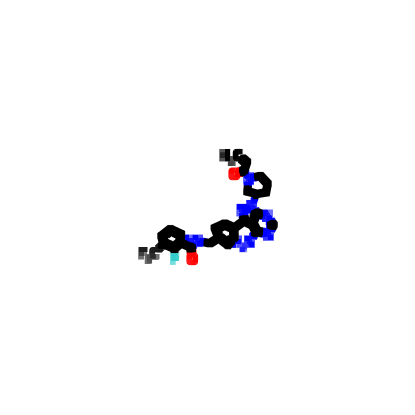 C=CC(=O)N1CCC[C@@H](n2nc(-c3ccc(CNC(=O)c4cccc(C(F)(F)F)c4F)cc3)c3c(N)ncnc32)C1